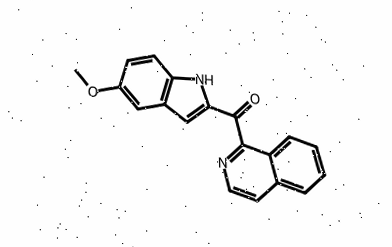 COc1ccc2[nH]c(C(=O)c3nccc4ccccc34)cc2c1